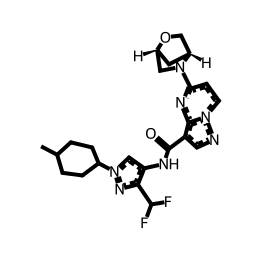 CC1CCC(n2cc(NC(=O)c3cnn4ccc(N5C[C@H]6C[C@@H]5CO6)nc34)c(C(F)F)n2)CC1